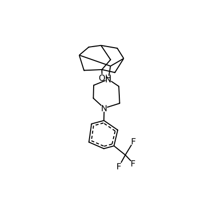 OC12CC3CC(C1)C(N1CCN(c4cccc(C(F)(F)F)c4)CC1)C(C3)C2